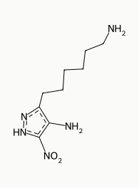 NCCCCCCc1n[nH]c([N+](=O)[O-])c1N